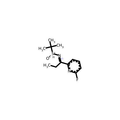 CC/C(=N\[S@+]([O-])C(C)(C)C)c1cccc(F)n1